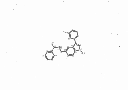 CCn1cc(-c2cccc(F)c2)c2cc(CN[C@H](C)c3ccccc3)ccc21